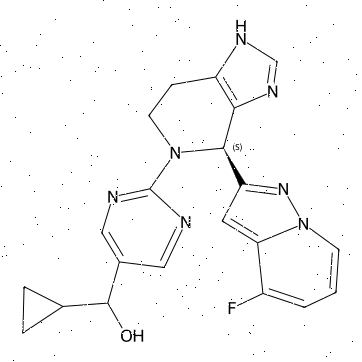 OC(c1cnc(N2CCc3[nH]cnc3[C@H]2c2cc3c(F)cccn3n2)nc1)C1CC1